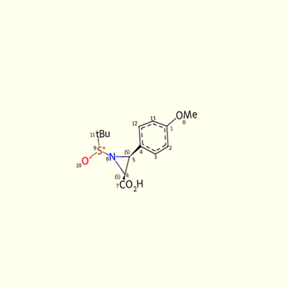 COc1ccc([C@H]2[C@@H](C(=O)O)N2[S+]([O-])C(C)(C)C)cc1